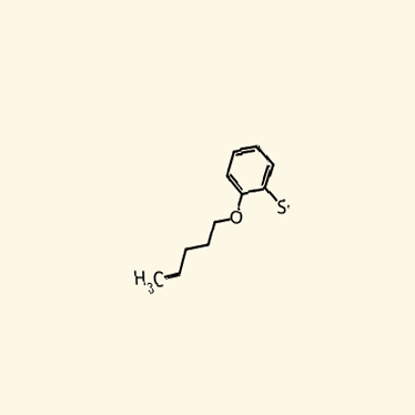 CCCCCOc1ccccc1[S]